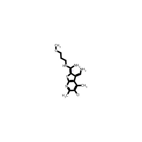 COCCCN/C(N)=c1\sc2nc(C)c(Cl)c(C)c2\c1=C\N